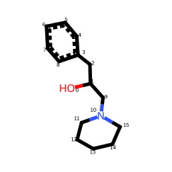 OC(Cc1ccccc1)CN1CCCCC1